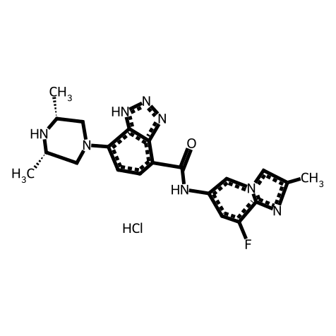 Cc1cn2cc(NC(=O)c3ccc(N4C[C@@H](C)N[C@@H](C)C4)c4[nH]nnc34)cc(F)c2n1.Cl